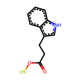 O=C(CCc1c[nH]c2ccccc12)OS